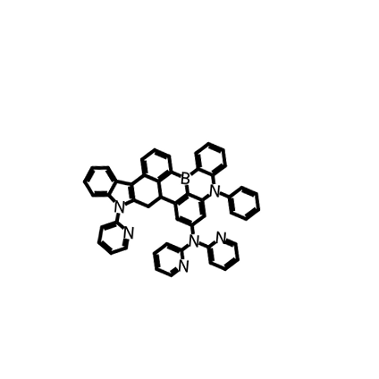 c1ccc(N2c3ccccc3B3c4cccc5c4C(Cc4c-5c5ccccc5n4-c4ccccn4)c4cc(N(c5ccccn5)c5ccccn5)cc2c43)cc1